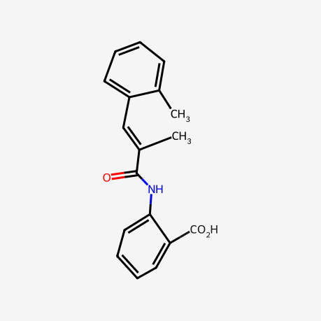 CC(=Cc1ccccc1C)C(=O)Nc1ccccc1C(=O)O